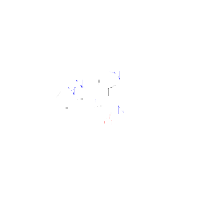 CCC1CCCCN1C(=O)/C=C/c1c(-c2ccncc2)nn2ccccc12